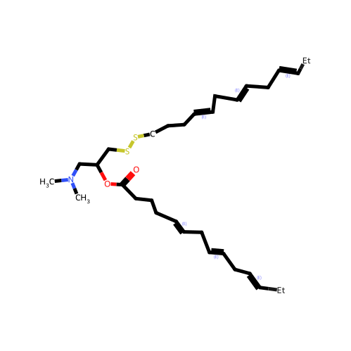 CC/C=C/C/C=C/C/C=C/CCCSSCC(CN(C)C)OC(=O)CCC/C=C/C/C=C/C/C=C/CC